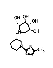 OC[C@@H]1[C@@H](O)[C@H](O)[C@@H](O)CN1C[C@H]1CCCN(c2nc(C(F)(F)F)cs2)C1